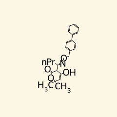 CCC/C(=N\OCc1ccc(-c2ccccc2)cc1)C1C(=O)OC(C)(C)C=C1O